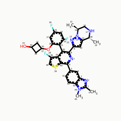 Cc1nc2cc(-c3nc(-c4cc5n(n4)[C@@H](C)CN[C@@H]5C)c(-c4c(F)cc(F)cc4OC4CC(O)C4)c4c(F)csc34)ccc2n1C